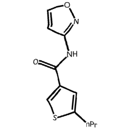 CCCc1cc(C(=O)Nc2ccon2)cs1